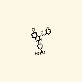 O=C(O)C1CCN(c2nc(NCc3cccnc3)c3cc(Cl)ccc3n2)CC1